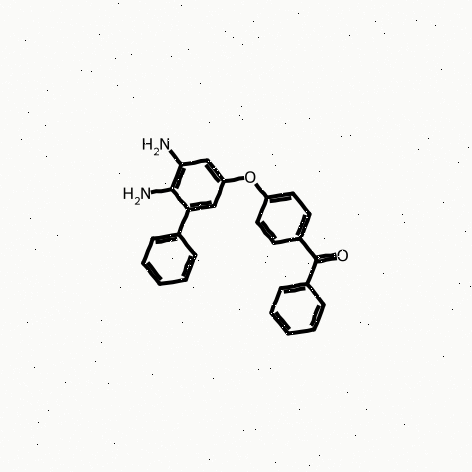 Nc1cc(Oc2ccc(C(=O)c3ccccc3)cc2)cc(-c2ccccc2)c1N